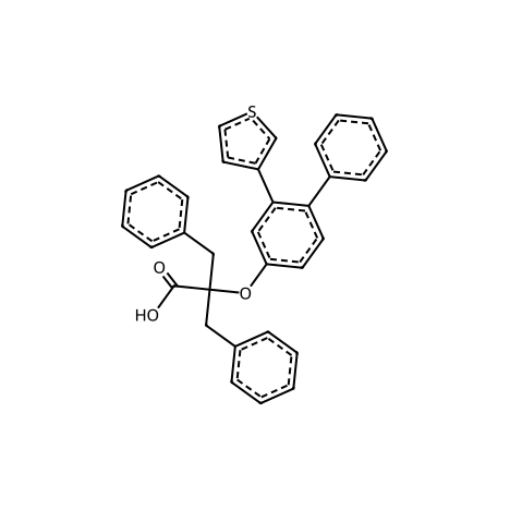 O=C(O)C(Cc1ccccc1)(Cc1ccccc1)Oc1ccc(-c2ccccc2)c(-c2ccsc2)c1